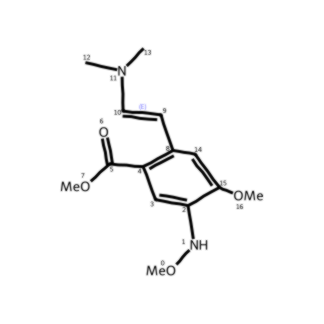 CONc1cc(C(=O)OC)c(/C=C/N(C)C)cc1OC